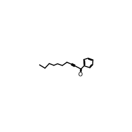 CCCCCCCC#CC(=O)c1ccccc1